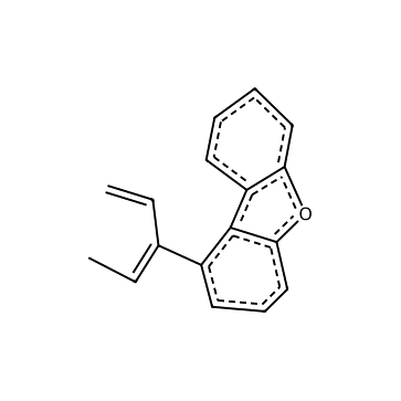 C=C/C(=C\C)c1cccc2oc3ccccc3c12